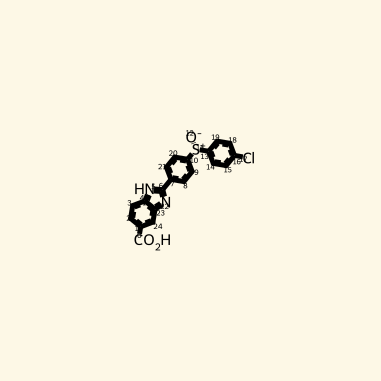 O=C(O)c1ccc2[nH]c(-c3ccc([S+]([O-])c4ccc(Cl)cc4)cc3)nc2c1